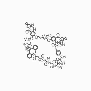 COc1cc2c(cc1OCCCCCOc1cc3c(cc1OC)C(=O)N1CC4(CC4)C[C@H]1[C@H](O)N3C(=O)OCc1ccc(NC(=O)[C@H](C)NC(=O)[C@@H](NC(=O)CNC(=O)CNC(=O)CCC(=O)N3Cc4ccccc4-c4c(nnn4C(C)(C)C(C)C)-c4ccccc43)C(C)C)cc1)N=C[C@@H]1CC3(CC3)CN1C2=O